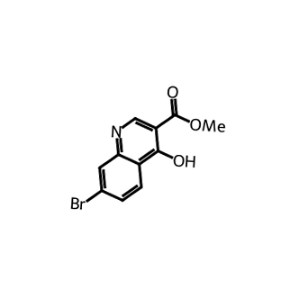 COC(=O)c1cnc2cc(Br)ccc2c1O